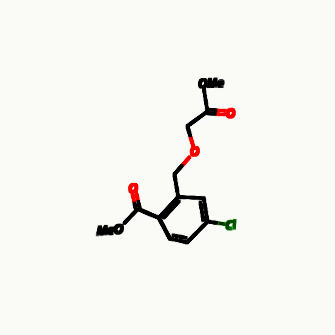 COC(=O)COCc1cc(Cl)ccc1C(=O)OC